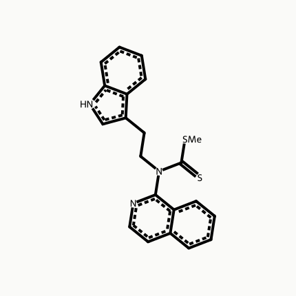 CSC(=S)N(CCc1c[nH]c2ccccc12)c1nccc2ccccc12